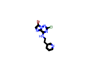 Clc1nc(NCCc2cccnc2)c2ncc(Br)n2n1